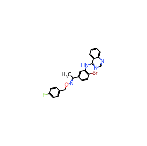 CC(=NOCc1ccc(F)cc1)c1ccc(Br)c(Nc2ncnc3ccccc23)c1